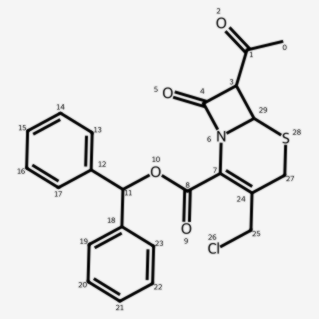 CC(=O)C1C(=O)N2C(C(=O)OC(c3ccccc3)c3ccccc3)=C(CCl)CSC12